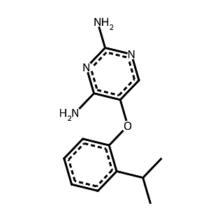 CC(C)c1ccccc1Oc1cnc(N)nc1N